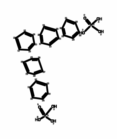 O=P(O)(O)O.O=P(O)(O)O.c1ccccc1.c1ccccc1.c1ccccc1.c1ccccc1.c1ccccc1